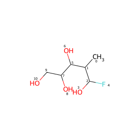 CC(C(O)F)C(O)C(O)CO